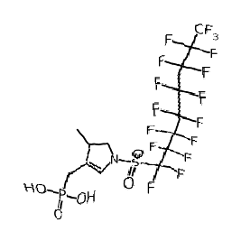 CC1CN(S(=O)(=O)C(F)(F)C(F)(F)C(F)(F)C(F)(F)C(F)(F)C(F)(F)C(F)(F)C(F)(F)F)C=C1CP(=O)(O)O